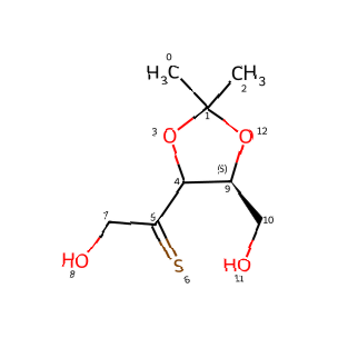 CC1(C)OC(C(=S)CO)[C@H](CO)O1